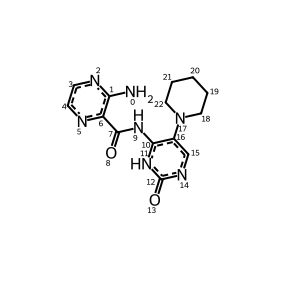 Nc1nccnc1C(=O)Nc1[nH]c(=O)ncc1N1CCCCC1